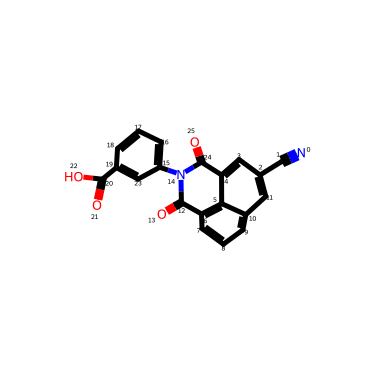 N#Cc1cc2c3c(cccc3c1)C(=O)N(c1cccc(C(=O)O)c1)C2=O